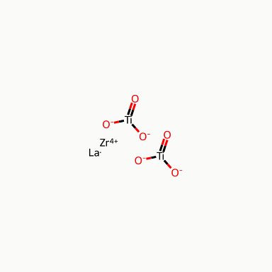 [La].[O]=[Ti]([O-])[O-].[O]=[Ti]([O-])[O-].[Zr+4]